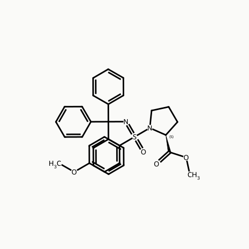 COC(=O)[C@@H]1CCCN1S(=O)(=NC(c1ccccc1)(c1ccccc1)c1ccccc1)c1ccc(OC)cc1